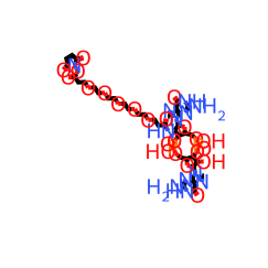 Nc1nc2c(ncn2C2OC3COP(=O)(O)OC4C(COP(=O)(O)OC3C2O)OC(n2cnc3c(=O)[nH]c(N)nc32)C4NC(=O)CCOCCOCCOCCOCCOCCC(=O)ON2C(=O)C=CC2=O)c(=O)[nH]1